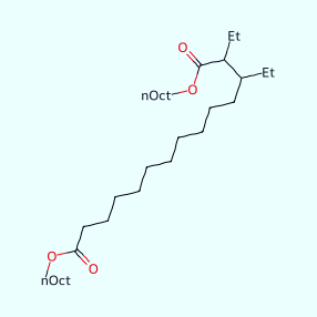 CCCCCCCCOC(=O)CCCCCCCCCCC(CC)C(CC)C(=O)OCCCCCCCC